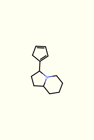 C1=CCC(C2CCC3CCCCN32)=C1